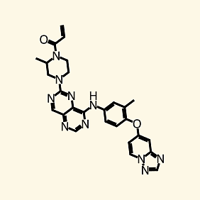 C=CC(=O)N1CCN(c2ncc3ncnc(Nc4ccc(Oc5ccn6ncnc6c5)c(C)c4)c3n2)CC1C